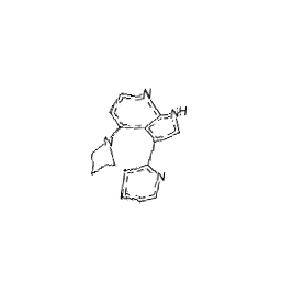 c1ccc(-c2c[nH]c3nccc(N4CCC4)c23)nc1